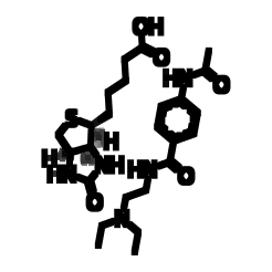 CCN(CC)CCNC(=O)c1ccc(NC(C)=O)cc1.O=C(O)CCCC[C@@H]1SC[C@@H]2NC(=O)N[C@@H]21